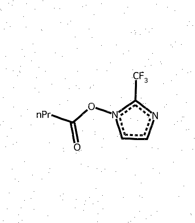 CCCC(=O)On1ccnc1C(F)(F)F